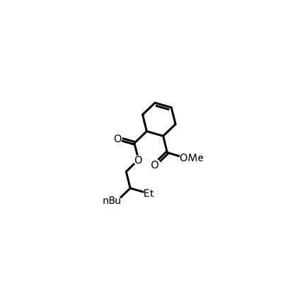 CCCCC(CC)COC(=O)C1CC=CCC1C(=O)OC